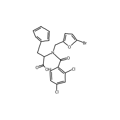 O=C(O)C(Cc1ccccc1)N(Cc1ccc(Br)o1)C(=O)c1ccc(Cl)cc1Cl